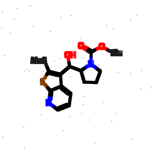 CSc1sc2ncccc2c1C(O)C1CCCN1C(=O)OC(C)(C)C